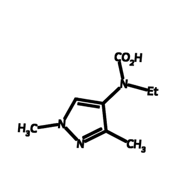 [CH2]CN(C(=O)O)c1cn(C)nc1C